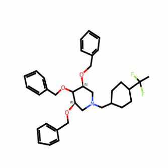 CC(F)(F)C1CCC(CN2C[C@H](OCc3ccccc3)C(OCc3ccccc3)[C@H](OCc3ccccc3)C2)CC1